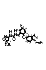 CC(C)Cn1ncc2cc(Oc3ccc(F)cc3CNC(=O)Nc3cc(C(C)(C)C)on3)ccc21